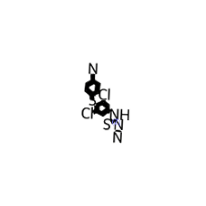 CS/C(=N\C#N)Nc1cc(Cl)c(Sc2ccc(C#N)cc2)c(Cl)c1